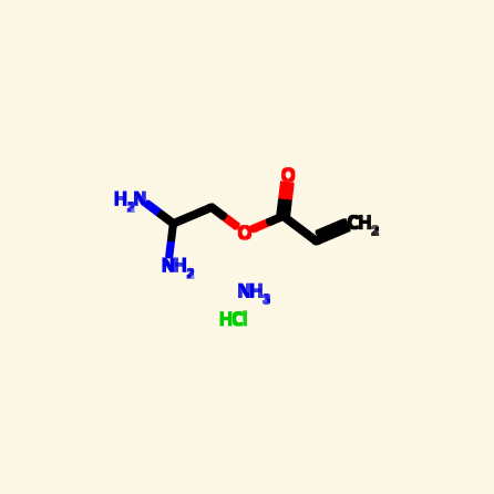 C=CC(=O)OCC(N)N.Cl.N